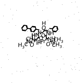 CC(C)[C@H](NC(=O)N(C)C)C(=O)N[C@@H](Cc1ccccc1)[C@@H](O)CN(Cc1ccc(-c2ccccc2)cc1)NC(=O)[C@@H](NC(=O)N(C)C)C(C)C